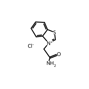 NC(=O)C[n+]1csc2ccccc21.[Cl-]